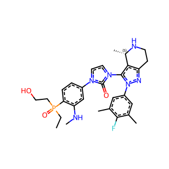 CCP(=O)(CCO)c1ccc(-n2ccn(-c3c4c(nn3-c3cc(C)c(F)c(C)c3)CCN[C@H]4C)c2=O)cc1NC